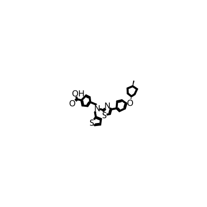 C[C@H]1CC[C@H](Oc2ccc(-c3csc(N(Cc4ccc(C(=O)O)cc4)Cc4cccs4)n3)cc2)CC1